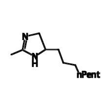 CCCCCCCCC1CN=C(C)N1